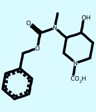 CN(C(=O)OCc1ccccc1)C1CN(C(=O)O)CCC1O